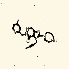 CC#CCn1c(N2CCCNCC2)nc2cnn(Cc3cc(C)ccn3)c(=O)c21